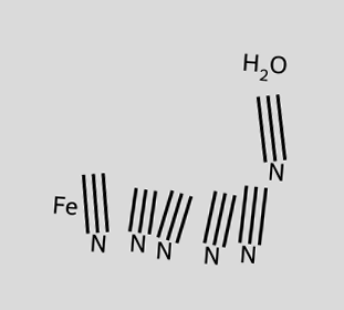 C#N.C#N.C#N.C#N.C#N.C#N.O.[Fe]